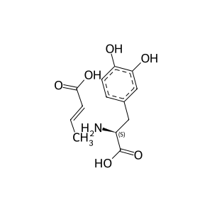 CC=CC(=O)O.N[C@@H](Cc1ccc(O)c(O)c1)C(=O)O